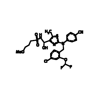 COCCCS(=O)(=O)NC(O)c1nc(N(Cc2ccc(Cl)cc2OC(F)F)c2ccc(C#N)cc2)sc1C